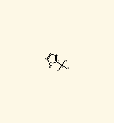 CC(C)(C)c1[c]cco1